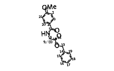 COc1ccc(C(=O)N[C@@H](C)C(=O)OCc2ccccc2)cc1